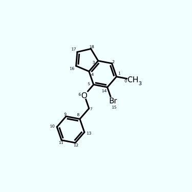 Cc1cc2c(c(OCc3ccccc3)c1Br)C=CC2